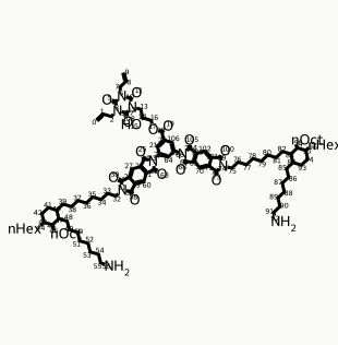 C=CCn1c(=O)n(CC=C)c(=O)n(CC(O)COC(=O)c2cc(-n3c(=O)c4cc5c(=O)n(CCCCCCCCC6CCC(CCCCCC)C(CCCCCCCC)C6CCCCCCCCN)c(=O)c5cc4c3=O)cc(-n3c(=O)c4cc5c(=O)n(CCCCCCCCC6C(CCCCCCCN)CCC(CCCCCC)C6CCCCCCCC)c(=O)c5cc4c3=O)c2)c1=O